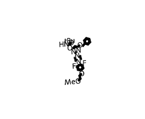 COCCOc1cc(F)c(N2CCN(c3nc(OCc4ccccc4)cc(OC(=O)NC(C)(C)C)n3)CC2)c(F)c1